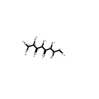 O=C(C(F)C(=O)C(F)C(F)CF)C(F)C(F)F